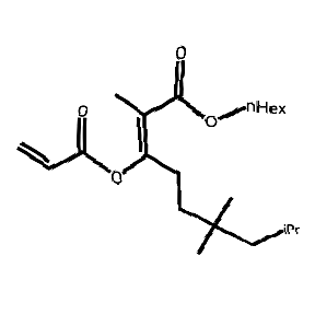 C=CC(=O)OC(CCC(C)(C)CC(C)C)=C(C)C(=O)OCCCCCC